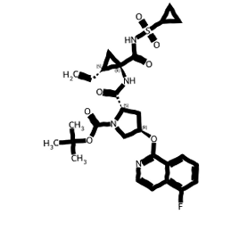 C=C[C@@H]1C[C@]1(NC(=O)[C@@H]1C[C@@H](Oc2nccc3c(F)cccc23)CN1C(=O)OC(C)(C)C)C(=O)NS(=O)(=O)C1CC1